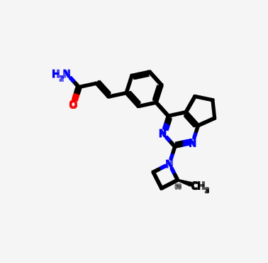 C[C@H]1CCN1c1nc2c(c(-c3cccc(C=CC(N)=O)c3)n1)CCC2